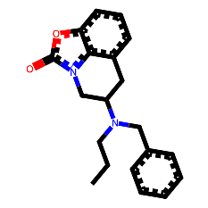 CCCN(Cc1ccccc1)C1Cc2cccc3oc(=O)n(c23)C1